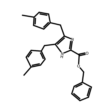 Cc1ccc(Cc2nc(C(=O)OCc3ccccc3)[nH]c2Cc2ccc(C)cc2)cc1